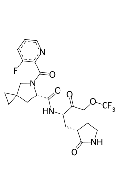 O=C(COC(F)(F)F)C(C[C@@H]1CCNC1=O)NC(=O)[C@@H]1CC2(CC2)CN1C(=O)c1ncccc1F